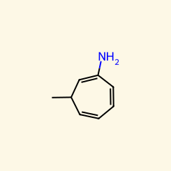 CC1C=CC=CC(N)=C1